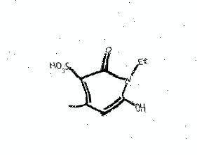 CCn1c(O)cc(C)c(S(=O)(=O)O)c1=O